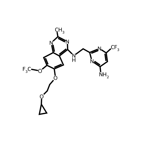 Cc1nc(NCc2nc(N)cc(C(F)(F)F)n2)c2cc(OCCOC3CC3)c(OC(F)(F)F)cc2n1